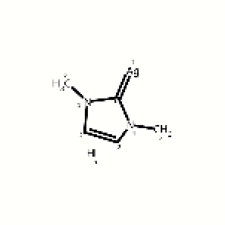 Cn1ccn(C)[c]1=[Ag].I